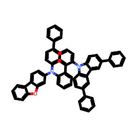 c1ccc(-c2ccc(N(c3ccc4c(c3)oc3ccccc34)c3ccccc3-c3ccccc3-n3c4ccc(-c5ccccc5)cc4c4cc(-c5ccccc5)ccc43)cc2)cc1